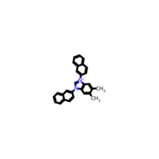 Cc1cc2c(cc1C)[n+](-c1ccc3ccccc3c1)cn2-c1ccc2ccccc2c1